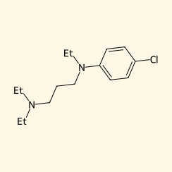 CCN(CC)CCCN(CC)c1ccc(Cl)cc1